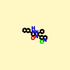 O=c1cc(-c2ccc3ccccc3c2)[nH]c2nc(-c3ccccc3)c(-c3cc(Cl)c4ncccc4c3)nc12